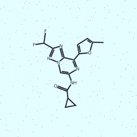 Cc1ccc(-c2nc(NC(=O)C3CC3)cn3nc(C(F)F)nc23)o1